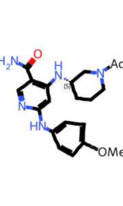 COc1ccc(Nc2cc(N[C@H]3CCCN(C(C)=O)C3)c(C(N)=O)cn2)cc1